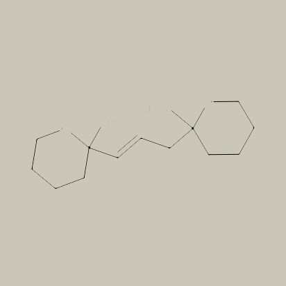 [SiH3]C1(C=CCC2([SiH3])CCCCO2)CCCCO1